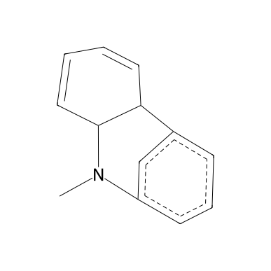 CN1c2cccc(c2)C2C=CC=CC21